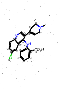 CN1CC=C(c2cnc3ccc(Cl)cc3c2Nc2ccccc2C(=O)O)CC1